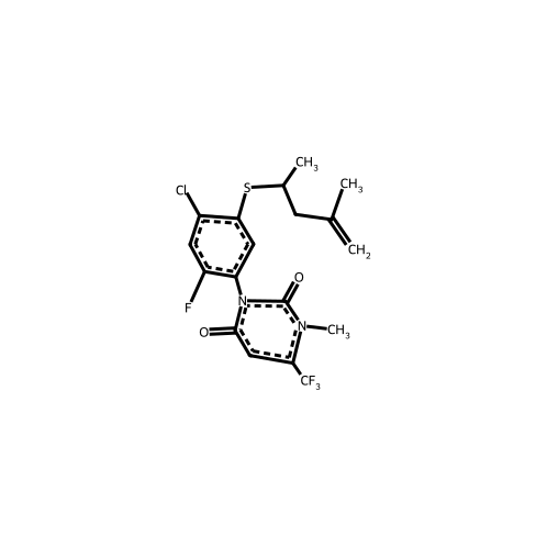 C=C(C)CC(C)Sc1cc(-n2c(=O)cc(C(F)(F)F)n(C)c2=O)c(F)cc1Cl